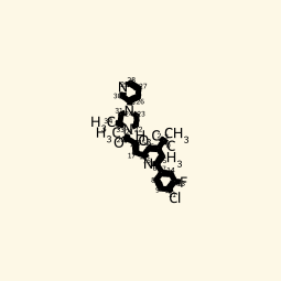 CC(C)(C)c1cc(-c2ccc(Cl)c(F)c2)nc2cc(C(=O)N3CCN(c4cccnc4)CC3(C)C)oc12